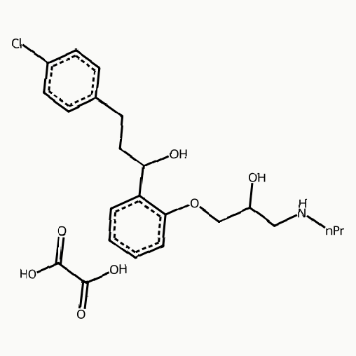 CCCNCC(O)COc1ccccc1C(O)CCc1ccc(Cl)cc1.O=C(O)C(=O)O